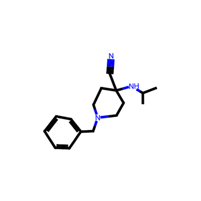 CC(C)NC1(C#N)CCN(Cc2ccccc2)CC1